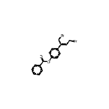 O=C(Oc1ccc(C(=CCBr)CBr)cc1)c1ccccc1